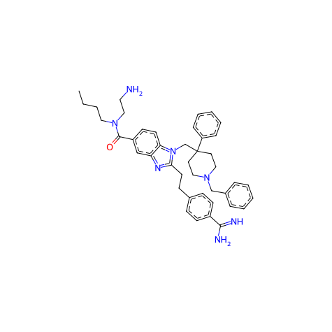 CCCCN(CCN)C(=O)c1ccc2c(c1)nc(CCc1ccc(C(=N)N)cc1)n2CC1(c2ccccc2)CCN(Cc2ccccc2)CC1